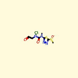 CN(C(=O)N(Cl)CC=O)c1nnc([S+](C)[O-])s1